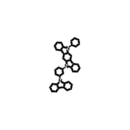 c1ccc(-n2c3ccccc3c3cc4c(cc32)c2ccccc2n4-c2cccc(-n3c4ccccc4c4ccccc43)c2)cc1